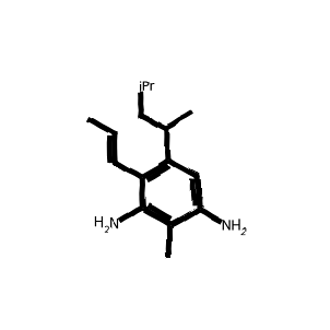 CC=Cc1c(C(C)CC(C)C)cc(N)c(C)c1N